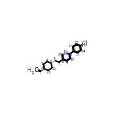 C=C[C@H]1CC[C@H](CCc2ccc(-c3ccc(Cl)cc3)nc2)CC1